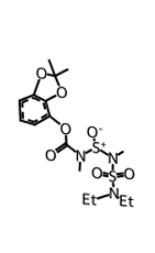 CCN(CC)S(=O)(=O)N(C)[S+]([O-])N(C)C(=O)Oc1cccc2c1OC(C)(C)O2